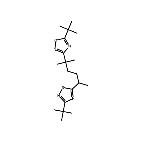 CC(CCC(C)(C)c1noc(C(C)(C)C)n1)c1nc(C(C)(C)C)ns1